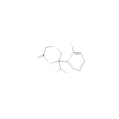 O=C1COCC(c2ccccc2F)(C(F)F)N1